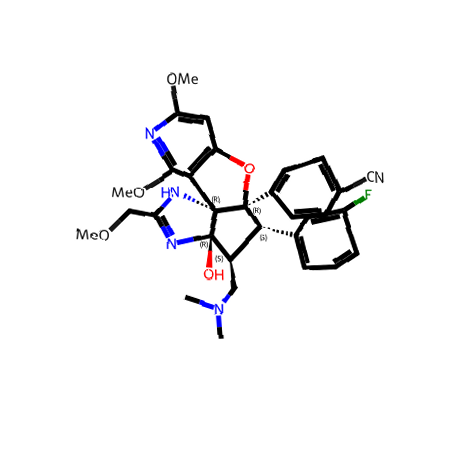 COCC1=N[C@@]2(O)[C@H](CN(C)C)[C@@H](c3cccc(F)c3)[C@]3(c4ccc(C#N)cc4)Oc4cc(OC)nc(OC)c4[C@]23N1